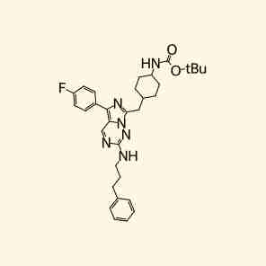 CC(C)(C)OC(=O)NC1CCC(Cc2nc(-c3ccc(F)cc3)c3cnc(NCCCc4ccccc4)nn23)CC1